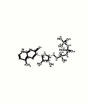 Cc1cc[nH]c2nc(=S)c([C@@H]3O[C@H](COP(=O)(O)OP(=O)(O)OP(=O)(O)O)[C@H](O)C3O)cc1-2